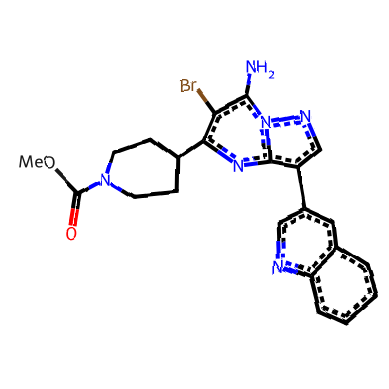 COC(=O)N1CCC(c2nc3c(-c4cnc5ccccc5c4)cnn3c(N)c2Br)CC1